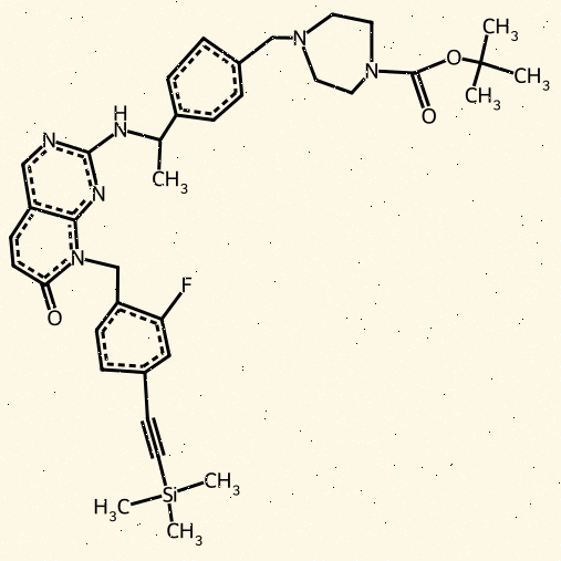 CC(Nc1ncc2ccc(=O)n(Cc3ccc(C#C[Si](C)(C)C)cc3F)c2n1)c1ccc(CN2CCN(C(=O)OC(C)(C)C)CC2)cc1